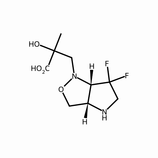 CC(O)(CN1OC[C@H]2NCC(F)(F)[C@H]21)C(=O)O